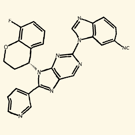 [C-]#[N+]c1ccc2ncn(-c3ncc4nc(-c5cccnc5)n([C@@H]5CCOc6c(F)cccc65)c4n3)c2c1